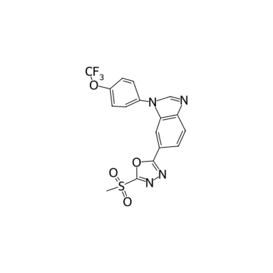 CS(=O)(=O)c1nnc(-c2ccc3ncn(-c4ccc(OC(F)(F)F)cc4)c3c2)o1